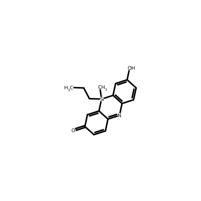 CCC[Si]1(C)C2=CC(=O)C=CC2=Nc2ccc(O)cc21